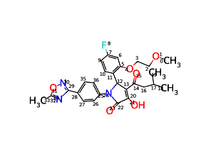 COCCOc1cc(F)ccc1C1C(C(=O)CC(C)C)=C(O)C(=O)N1c1ccc(-c2noc(C)n2)cc1